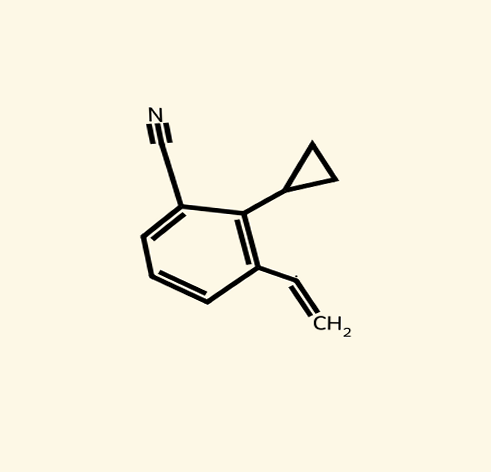 C=[C]c1cccc(C#N)c1C1CC1